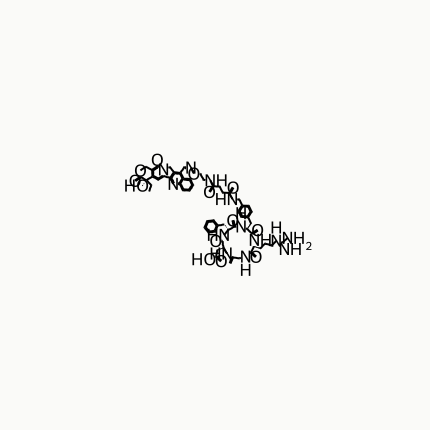 C=C1CNC(=O)[C@H](CCCNC(=N)N)NC(=O)[C@H](Cc2ccc(CNC(=O)CCC(=O)NCCO/N=C\c3c4c(nc5ccccc35)-c3cc5c(c(=O)n3C4)COC(=O)[C@]5(O)CC)cc2)NC(=O)[C@@H](Cc2ccccc2)NC(=O)[C@H](CC(=O)O)N1